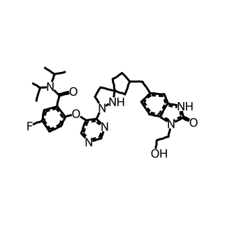 CC(C)N(C(=O)c1cc(F)ccc1Oc1cncnc1N1CCC2(CCC(Cc3ccc4c(c3)[nH]c(=O)n4CCO)C2)N1)C(C)C